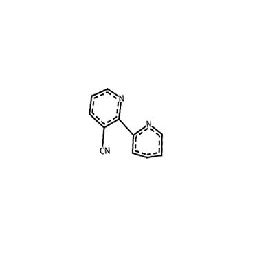 N#Cc1cccnc1-c1ccccn1